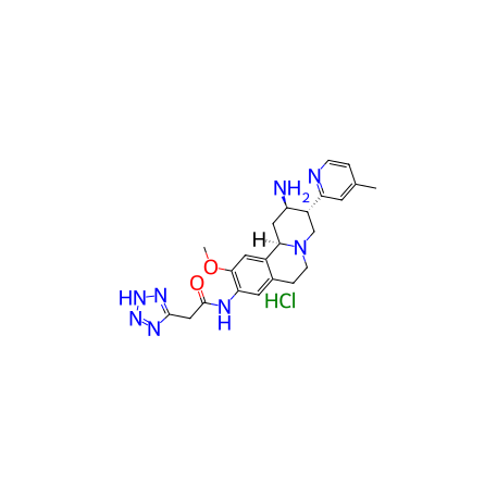 COc1cc2c(cc1NC(=O)Cc1nn[nH]n1)CCN1C[C@@H](c3cc(C)ccn3)[C@H](N)C[C@H]21.Cl